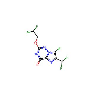 O=c1[nH]c(OCC(F)F)nn2c(Br)c(C(F)F)nc12